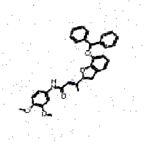 COc1ccc(NC(=O)/C=C(\C)C2Cc3cccc(OC(c4ccccc4)c4ccccc4)c3O2)cc1OC